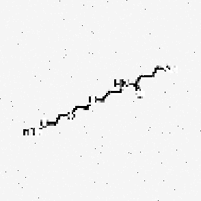 CCCCOCCOCCOCCCNC(=O)CCCC(C)=O